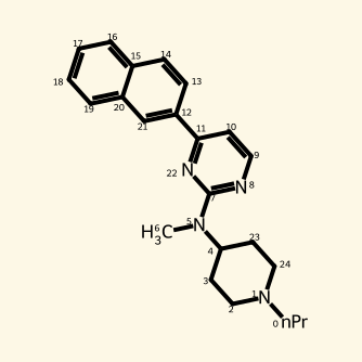 CCCN1CCC(N(C)c2nccc(-c3ccc4ccccc4c3)n2)CC1